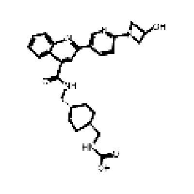 O=C(O)NC[C@H]1CC[C@H](CNC(=O)c2cc(-c3ccc(N4CC(O)C4)nc3)nc3ccccc23)CC1